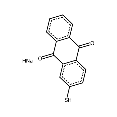 O=C1c2ccccc2C(=O)c2cc(S)ccc21.[NaH]